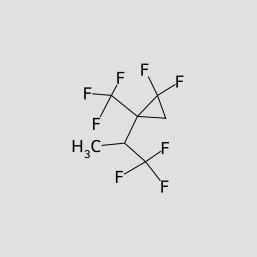 CC(C(F)(F)F)C1(C(F)(F)F)CC1(F)F